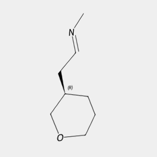 CN=CC[C@H]1CCCOC1